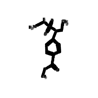 CCN(c1ccc(C(=O)OC)cc1)S(=O)(=O)NN